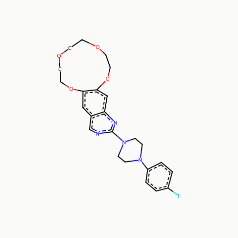 Fc1ccc(N2CCN(c3ncc4cc5c(cc4n3)OCCOCCOCCO5)CC2)cc1